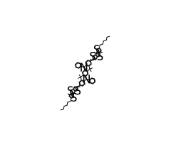 CCCCCCc1cc2sc3cc(-c4ccc5c(c4)C(C)(C)c4cc6c(cc4N5c4ccccc4)C(C)(C)c4cc(-c5cc7sc8cc(CCCCCC)sc8c7s5)ccc4N6c4ccccc4)sc3c2s1